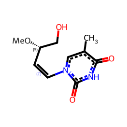 CO[C@@H](/C=C\n1cc(C)c(=O)[nH]c1=O)CO